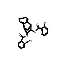 CC(C)c1ccccc1C(=O)OC1C2CC(c3ccccc32)C1OC(=O)c1ccccc1C(C)C